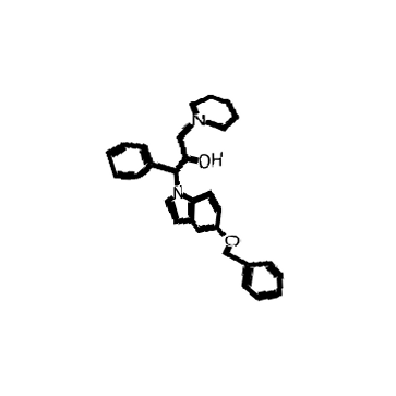 OC(CN1CCCCC1)C(c1ccccc1)n1ccc2cc(OCc3ccccc3)ccc21